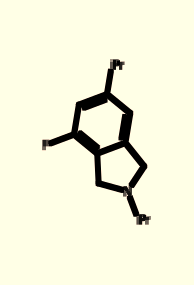 CC(C)c1cc(F)c2c(c1)CN(C(C)C)C2